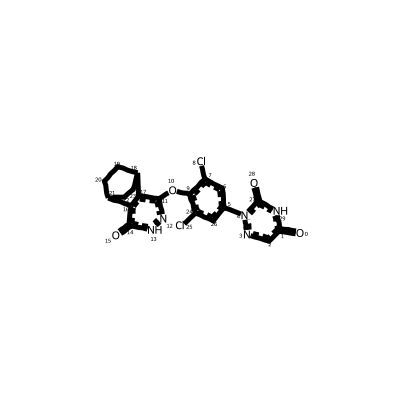 O=c1cnn(-c2cc(Cl)c(Oc3n[nH]c(=O)c4c3C3CCC4CC3)c(Cl)c2)c(=O)[nH]1